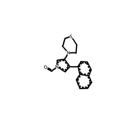 O=Cn1cc(-c2cccc3ccccc23)c(N2CCSCC2)c1